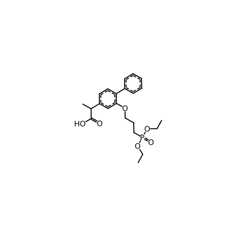 CCOP(=O)(CCCOc1cc(C(C)C(=O)O)ccc1-c1ccccc1)OCC